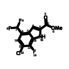 COC(=O)c1cc2c(C(F)F)cc(Cl)c(F)c2[nH]1